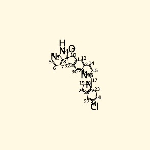 O=C1Nc2ncccc2C12Cc1cc3ccc(CN4CCC5=C4CCC(Cl)=C5)nc3cc1C2